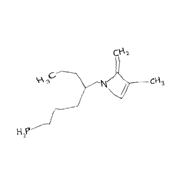 C=C1C(C)=CN1C(CC)CCCP